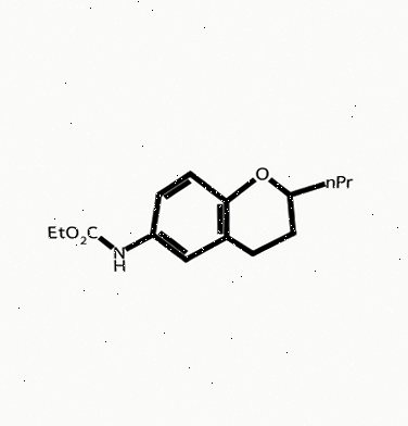 CCCC1CCc2cc(NC(=O)OCC)ccc2O1